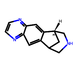 c1cnc2cc3c(cc2n1)C1CNC[C@@H]3C1